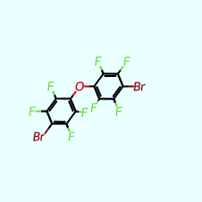 Fc1c(F)c(Oc2c(F)c(F)c(Br)c(F)c2F)c(F)c(F)c1Br